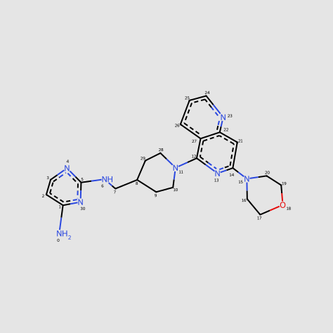 Nc1ccnc(NCC2CCN(c3nc(N4CCOCC4)cc4ncccc34)CC2)n1